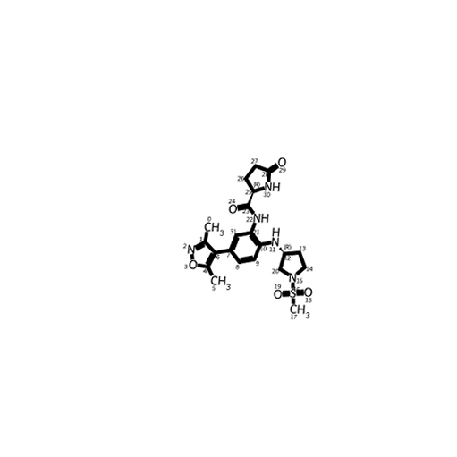 Cc1noc(C)c1-c1ccc(N[C@@H]2CCN(S(C)(=O)=O)C2)c(NC(=O)[C@H]2CCC(=O)N2)c1